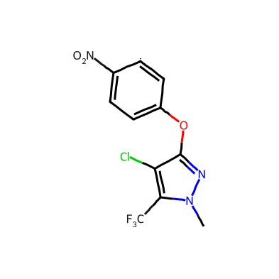 Cn1nc(Oc2c[c]c([N+](=O)[O-])cc2)c(Cl)c1C(F)(F)F